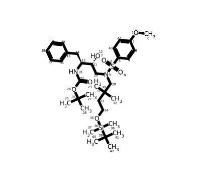 COc1ccc(S(=O)(=O)N(C[C@@H](O)[C@H](Cc2ccccc2)NC(=O)OC(C)(C)C)CC(C)(C)CCO[Si](C)(C)C(C)(C)C)cc1